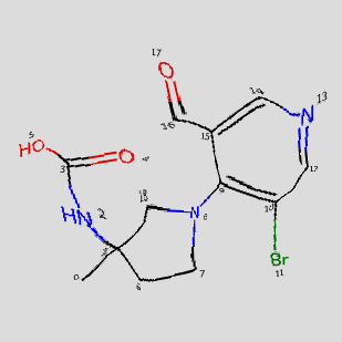 CC1(NC(=O)O)CCN(c2c(Br)cncc2C=O)C1